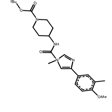 COc1ccc(C2=C[N+](C)(C(=O)NC3CCN(C(=O)OC(C)(C)C)CC3)C=N2)cc1C